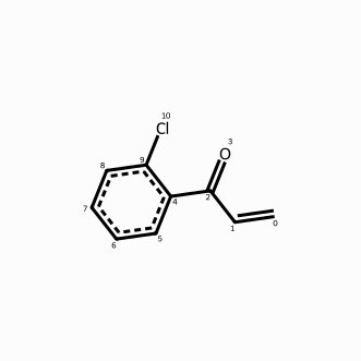 C=CC(=O)c1ccccc1Cl